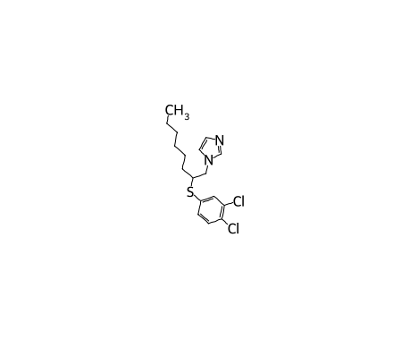 CCCCCCC(Cn1ccnc1)Sc1ccc(Cl)c(Cl)c1